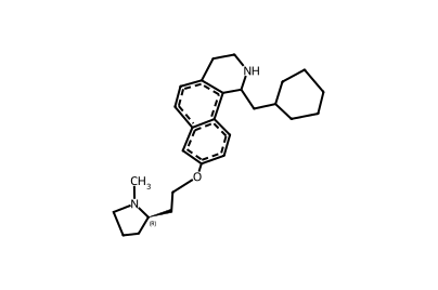 CN1CCC[C@@H]1CCOc1ccc2c3c(ccc2c1)CCNC3CC1CCCCC1